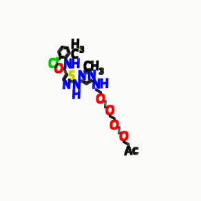 CC(=O)CCOCCOCCOCCOCCNc1cc(Nc2ncc(C(=O)Nc3c(C)cccc3Cl)s2)nc(C)n1